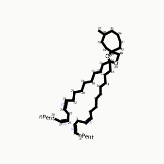 CCCCC/C=C\C/C=C\CCCCCCCCC1(CCCCCCCC/C=C\C/C=C\CCCCC)OCC2(CCCCC(C)CC2)O1